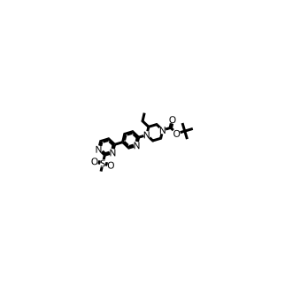 CCC1CN(C(=O)OC(C)(C)C)CCN1c1ccc(-c2ccnc(S(C)(=O)=O)n2)cn1